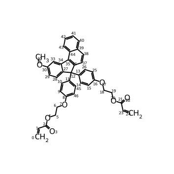 C=CC(=O)OCCOc1ccc(C2(c3ccc(OCCOC(=O)C=C)cc3)c3ccc(OC)cc3-c3c2ccc2ccccc32)cc1